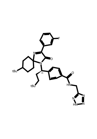 CC(C)(C)CC[C@H](c1ccc(C(=O)NCc2nn[nH]n2)cc1)N1C(=O)C(c2cccc(F)c2)=NC12CCC(C(C)(C)C)CC2